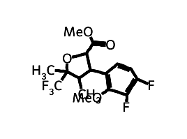 COC(=O)C1OC(C)(C(F)(F)F)C(C)C1c1ccc(F)c(F)c1OC